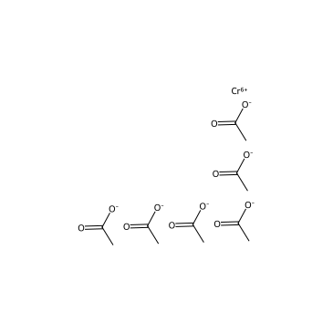 CC(=O)[O-].CC(=O)[O-].CC(=O)[O-].CC(=O)[O-].CC(=O)[O-].CC(=O)[O-].[Cr+6]